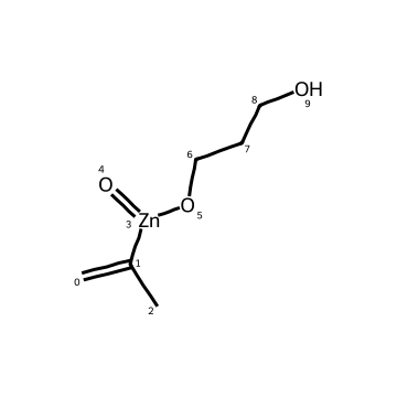 C=[C](C)[Zn](=[O])[O]CCCO